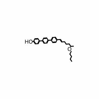 CCCCCOC(C)CCC/C=C/c1ccc(-c2ccc(-c3ccc(O)cc3)cc2)cc1